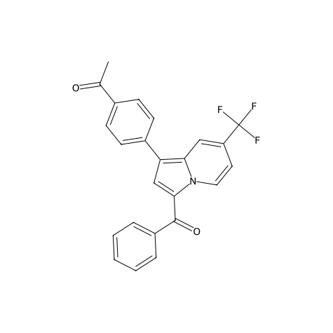 CC(=O)c1ccc(-c2cc(C(=O)c3ccccc3)n3ccc(C(F)(F)F)cc23)cc1